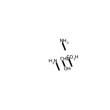 CC(=O)O.CN.CN.O=CO